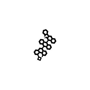 Cc1cccc2c(-c3c4ccccc4c(-c4c5ccccc5cc5c4sc4ccccc45)c4ccccc34)cc3cccc(C4CCC4)c3c12